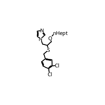 CCCCCCCOCC(Cn1ccnc1)SCc1ccc(Cl)c(Cl)c1